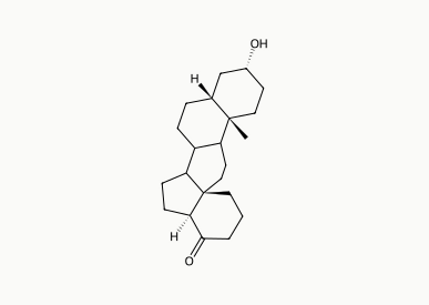 C[C@]12CC[C@@H](O)C[C@H]1CCC1C3CC[C@@H]4C(=O)CCC[C@]34CCC12